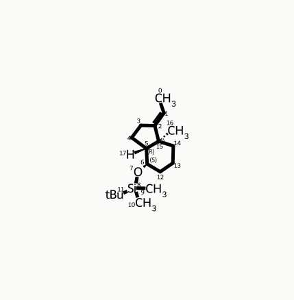 CC=C1CC[C@H]2[C@@H](O[Si](C)(C)C(C)(C)C)CCC[C@]12C